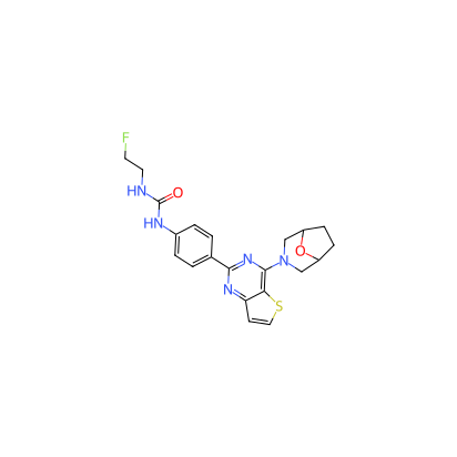 O=C(NCCF)Nc1ccc(-c2nc(N3CC4CCC(C3)O4)c3sccc3n2)cc1